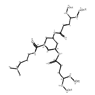 CCCCCCCCOC(CCC(=O)OC1CC(OC(=O)CCC(OCCCCCCCC)OCCCCCCCC)CN(C(=O)SCCCN(C)C)C1)OCCCCCCCC